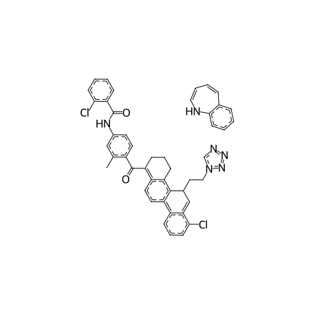 C1=CNc2ccccc2C=C1.Cc1cc(NC(=O)c2ccccc2Cl)ccc1C(=O)C1=c2ccc3c(c2CCC1)C(CCn1cnnn1)C=c1c(Cl)cccc1=3